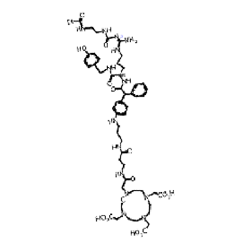 CCC(=O)NCCNC(=O)/N=C(/N)NCCC[C@@H](NC(=O)C(c1ccccc1)c1ccc(NCCCNC(=O)CCNC(=O)CN2CCN(CC(=O)O)CCN(CC(=O)O)CCN(CC(=O)O)CC2)cc1)C(=O)NCc1ccc(O)cc1